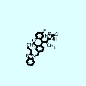 CCCc1nc2ccccc2n1Cc1ccc2c(c1)COc1ccc(F)cc1C2=C(C)c1noc(=O)[nH]1